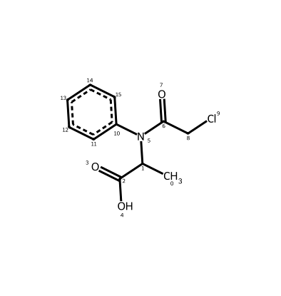 CC(C(=O)O)N(C(=O)CCl)c1ccccc1